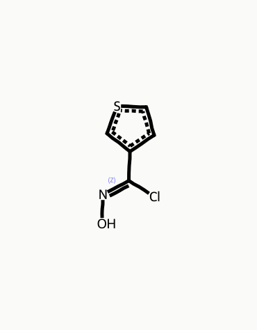 O/N=C(\Cl)c1ccsc1